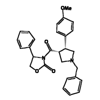 COc1ccc([C@@H]2CN(Cc3ccccc3)C[C@@H]2C(=O)N2C(=O)OCC2c2ccccc2)cc1